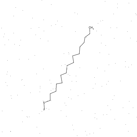 CCCCCCCCCCCCCCCCSF